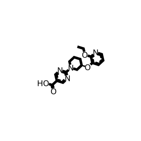 CCOc1ncccc1O[C@@H]1CCCN(c2ncc(C(=O)O)cn2)C1